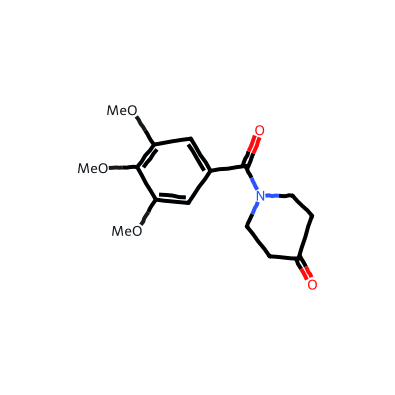 COc1cc(C(=O)N2CCC(=O)CC2)cc(OC)c1OC